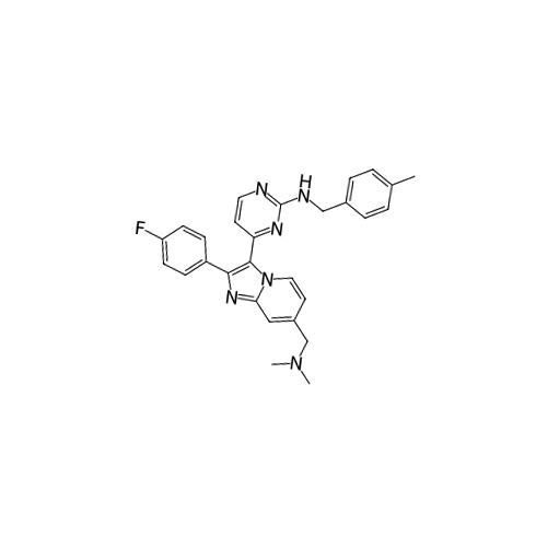 Cc1ccc(CNc2nccc(-c3c(-c4ccc(F)cc4)nc4cc(CN(C)C)ccn34)n2)cc1